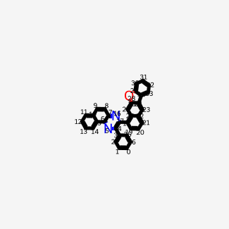 c1ccc(-c2nc3c(ccc4ccccc43)nc2-c2cccc3cc4c(cc23)oc2ccccc24)cc1